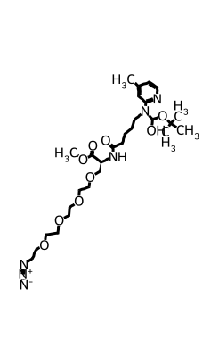 COC(=O)[C@H](COCCOCCOCCOCCN=[N+]=[N-])NC(=O)CCCCN(c1cc(C)ccn1)C(O)OC(C)(C)C